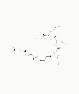 CNC(=O)[C@H](CCCCN)NC(=O)[C@@H](CCC(=O)O)NC(=O)[C@@H](CCCCN)NC(=O)CC[C@H](NC(=O)CNC(=O)CNC(=O)CSC(C)=O)C(=O)O